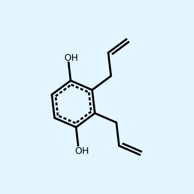 C=CCc1c(O)ccc(O)c1CC=C